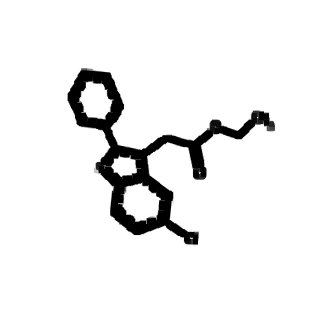 CCOC(=O)Cc1c(-c2ccccc2)sc2ccc(Cl)cc12